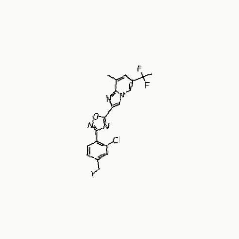 Cc1cc(C(C)(F)F)cn2cc(-c3nc(-c4ccc(CI)cc4Cl)no3)nc12